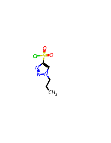 CCCn1cc(S(=O)(=O)Cl)nn1